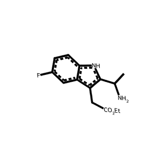 CCOC(=O)Cc1c(C(C)N)[nH]c2ccc(F)cc12